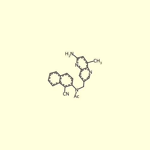 CC(=O)N(Cc1cnc2c(C)cc(N)nc2c1)c1ccc2ccccc2c1C#N